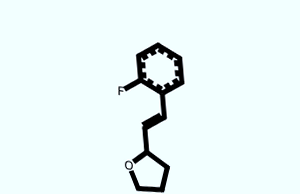 Fc1ccccc1C=CC1CCCO1